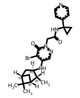 C[C@@H]1[C@H]2C[C@@H](C[C@H]1Nc1cnn(CC(=O)NC3(c4ccncc4)CC3)c(=O)c1Br)C2(C)C